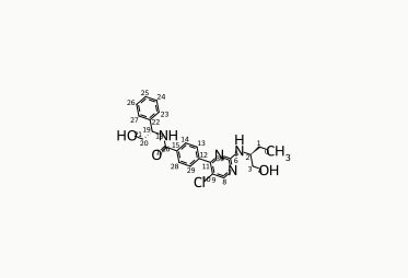 CC[C@@H](CO)Nc1ncc(Cl)c(-c2ccc(C(=O)N[C@H](CO)c3ccccc3)cc2)n1